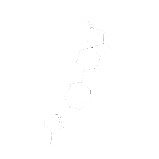 CCC1NC(=O)OC12CCN(C1=CC=CN(c3nc(C)no3)C=C1)CC2